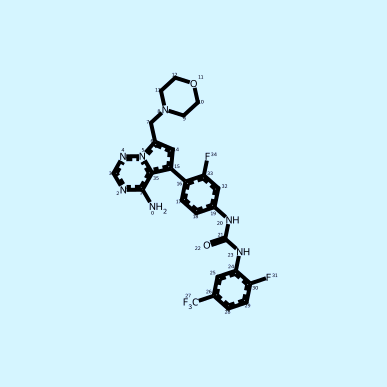 Nc1ncnn2c(CN3CCOCC3)cc(-c3ccc(NC(=O)Nc4cc(C(F)(F)F)ccc4F)cc3F)c12